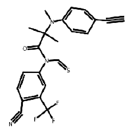 C#Cc1ccc(N(C)C(C)(C)C(=O)N(C=S)c2ccc(C#N)c(C(F)(F)F)c2)cc1